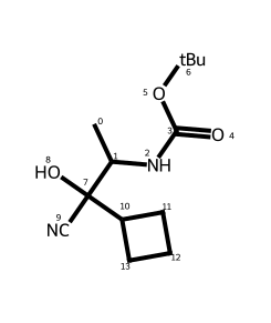 CC(NC(=O)OC(C)(C)C)C(O)(C#N)C1CCC1